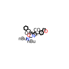 CCCCN(CCCC)C(=O)CN1C[C@H](c2ccc3c(c2)CCO3)[C@@H](C(=O)O)[C@@H]1CCc1ccccc1OC